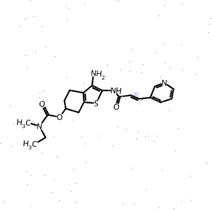 CCN(C)C(=O)OC1CCc2c(sc(NC(=O)/C=C/c3cccnc3)c2N)C1